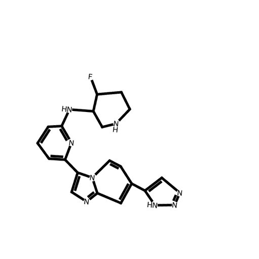 FC1CCNCC1Nc1cccc(-c2cnc3cc(-c4cnn[nH]4)ccn23)n1